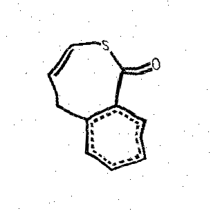 O=C1SC=CCc2ccccc21